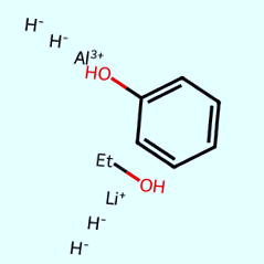 CCO.Oc1ccccc1.[Al+3].[H-].[H-].[H-].[H-].[Li+]